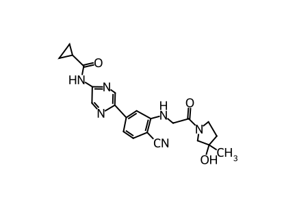 CC1(O)CCN(C(=O)CNc2cc(-c3cnc(NC(=O)C4CC4)cn3)ccc2C#N)C1